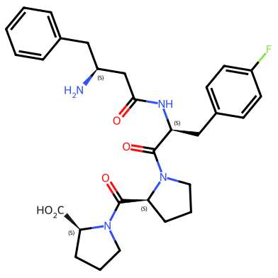 N[C@H](CC(=O)N[C@@H](Cc1ccc(F)cc1)C(=O)N1CCC[C@H]1C(=O)N1CCC[C@H]1C(=O)O)Cc1ccccc1